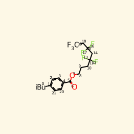 CCC(C)c1ccc(C(=O)OCCCC(F)(F)CC(F)(F)CC(F)(F)F)cc1